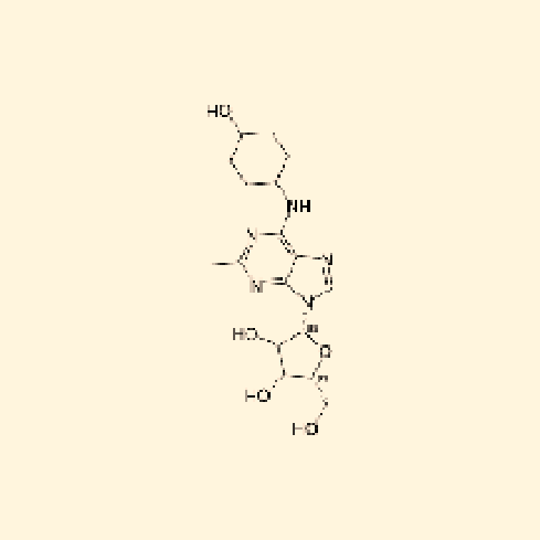 Cc1nc(NC2CCC(O)CC2)c2ncn([C@@H]3O[C@H](CO)C(O)C3O)c2n1